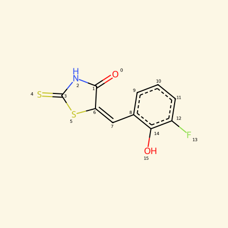 O=C1NC(=S)SC1=Cc1cccc(F)c1O